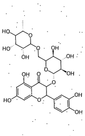 C[C@@H]1OC(OCC2O[C@@H](OC3C(=O)c4c(O)cc(O)cc4OC3c3ccc(O)c(O)c3)[C@H](O)[C@@H](O)[C@@H]2O)[C@H](O)[C@H](O)C1O